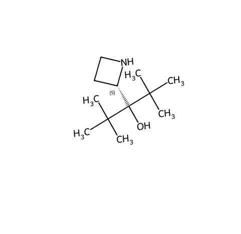 CC(C)(C)C(O)([C@@H]1CCN1)C(C)(C)C